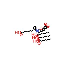 CCCCCCCCCC(=O)O.CCCCCCCCCC(=O)O.CCCCCCCCCC(=O)O.CCCCCCCCCC(=O)O.COc1cc2c(cc1OC)C(=O)C(CC1CCN(Cc3ccccc3)CC1)C2